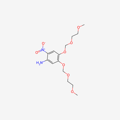 COCCOCOc1cc(N)c([N+](=O)[O-])cc1OCOCCOC